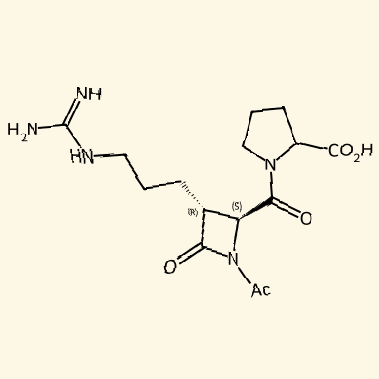 CC(=O)N1C(=O)[C@H](CCCNC(=N)N)[C@H]1C(=O)N1CCCC1C(=O)O